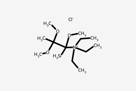 CC[N+](CC)(CC)C([SiH3])(OC)C(C)(OC)OC.[Cl-]